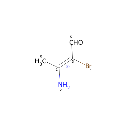 C/C(N)=C(/Br)C=O